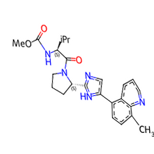 COC(=O)N[C@H](C(=O)N1CCC[C@H]1c1ncc(-c2ccc(C)c3ncccc23)[nH]1)C(C)C